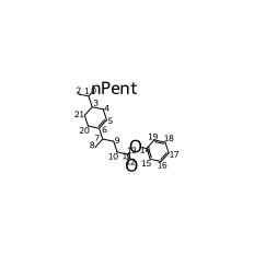 CCCCCC(C)C1CC=C(C(C)CCC(=O)Oc2ccccc2)CC1